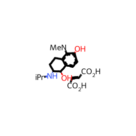 CNc1c(O)ccc2c1CC[C@@H](NC(C)C)[C@@H]2O.O=C(O)/C=C/C(=O)O